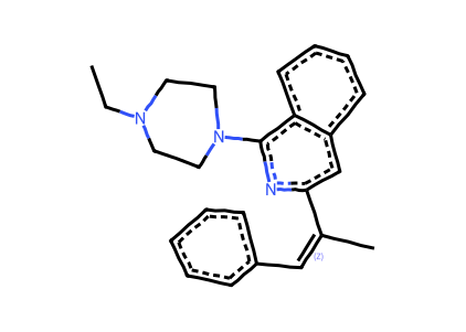 CCN1CCN(c2nc(/C(C)=C\c3ccccc3)cc3ccccc23)CC1